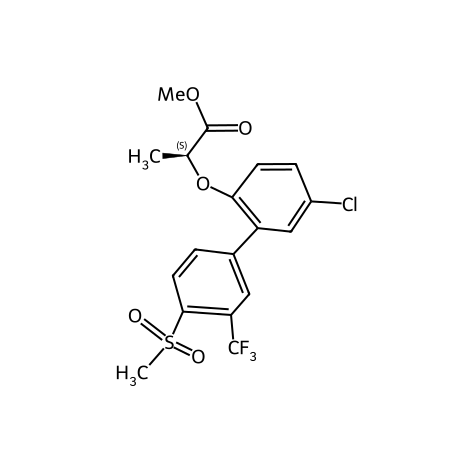 COC(=O)[C@H](C)Oc1ccc(Cl)cc1-c1ccc(S(C)(=O)=O)c(C(F)(F)F)c1